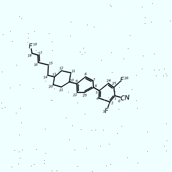 N#Cc1c(F)cc(-c2ccc(C3CCC(CCC=CCF)CC3)cc2)cc1F